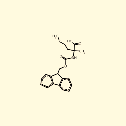 CSCCC(C)(NC(=O)OCC1c2ccccc2-c2ccccc21)C(=O)O